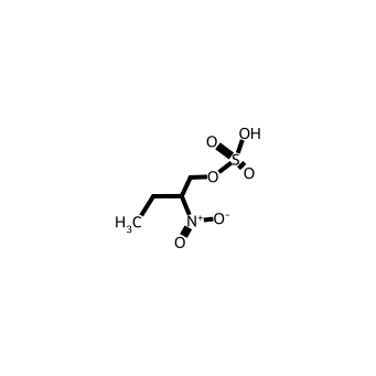 CCC(COS(=O)(=O)O)[N+](=O)[O-]